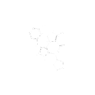 NC(=O)C1=C(N)S[C@@H](c2c(F)cccc2F)N1c1cnsc1OC1CCNC1